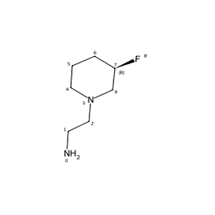 NCCN1CCC[C@@H](F)C1